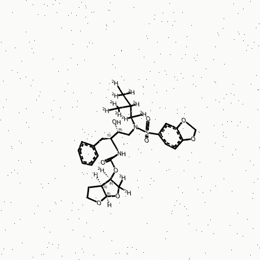 [2H]C([2H])([2H])C([2H])(C([2H])([2H])[2H])C([2H])([2H])N(C[C@@H](O)[C@H](Cc1ccccc1)NC(=O)O[C@]1([2H])[C@@H]2CCO[C@@H]2OC1([2H])[2H])S(=O)(=O)c1ccc2c(c1)OCO2